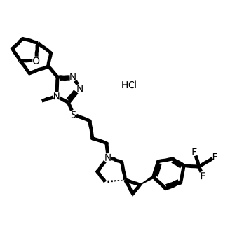 Cl.Cn1c(SCCCN2CC[C@]3(C[C@@H]3c3ccc(C(F)(F)F)cc3)C2)nnc1C1CC2CCC(C1)O2